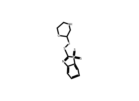 S=S1(=S)C(SSC2CNCCO2)=Nc2ccccc21